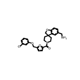 NCc1ccc2c(c1)C1(CCN(C(=O)c3ccc(COc4cccc(Cl)c4)o3)CC1)CO2